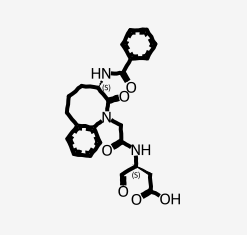 O=C[C@H](CC(=O)O)NC(=O)CN1C(=O)[C@@H](NC(=O)c2ccccc2)CCCc2ccccc21